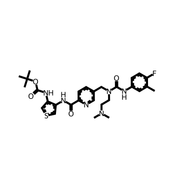 Cc1cc(NC(=O)N(CCN(C)C)Cc2ccc(C(=O)Nc3cscc3NC(=O)OC(C)(C)C)nc2)ccc1F